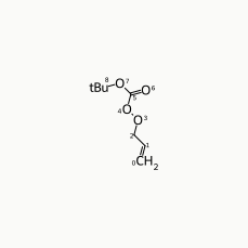 C=CCOOC(=O)OC(C)(C)C